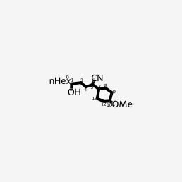 CCCCCCC(O)CCC(C#N)C1CCC(OC)CC1